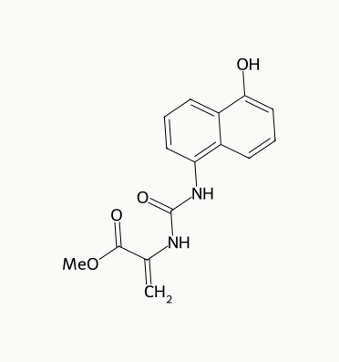 C=C(NC(=O)Nc1cccc2c(O)cccc12)C(=O)OC